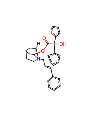 O=C(O[C@@H]1CC2CC[N+]1(CC=Cc1ccccc1)CC2)C(O)(c1ccccc1)c1ccco1